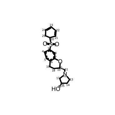 O=S(=O)(c1ccc2c(c1)O[C@@H](CN1CC[C@@H](O)C1)CC2)C1C=CC=CC1